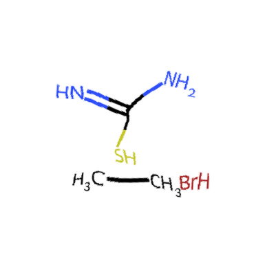 Br.CC.N=C(N)S